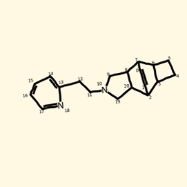 C1=CC2C3CCC3C1C1CN(CCc3ccccn3)CC21